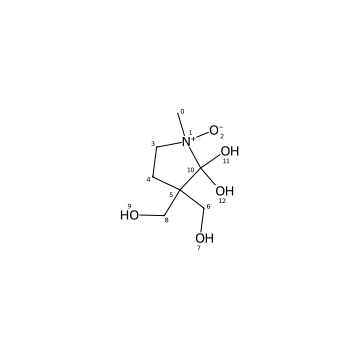 C[N+]1([O-])CCC(CO)(CO)C1(O)O